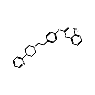 C=C(Oc1ccc(CCN2CCC(c3ccccn3)CC2)cc1)Sc1cccnc1N